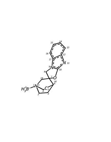 [BH3-][N+]12CCC(CC1)C1(Cn3c(nc4ccccc43)O1)C2